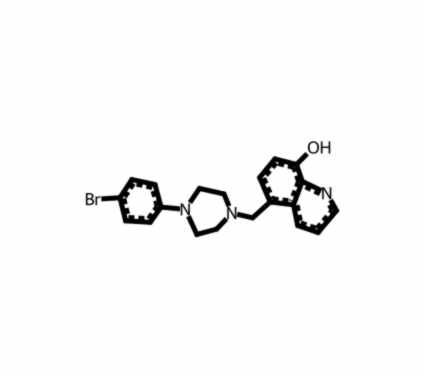 Oc1ccc(CN2CCN(c3ccc(Br)cc3)CC2)c2cccnc12